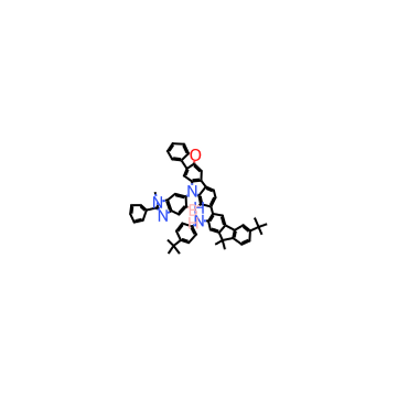 Cn1c(-c2ccccc2)nc2cc3c(cc21)-n1c2cc4c(cc2c2ccc(-c5cc6c(cc5Nc5ccc(C(C)(C)C)cc5)C(C)(C)c5ccc(C(C)(C)C)cc5-6)c(c21)B3)oc1ccccc14